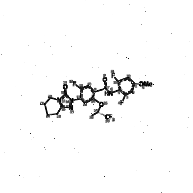 COc1cc(F)c(NC(=O)c2cc(F)c(-n3nc4n(c3=O)CCCC4)cc2O[C@@H](C)C(F)(F)F)c(F)c1